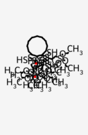 CCO[Si](CCS(S)(SS)C1(S(S)(CC[Si](OCC)(OCC)OCC)SS)CCCCCCCCCCC1(S(S)(CC[Si](OCC)(OCC)OCC)SS)S(S)(CC[Si](OCC)(OCC)OCC)SS)(OCC)OCC